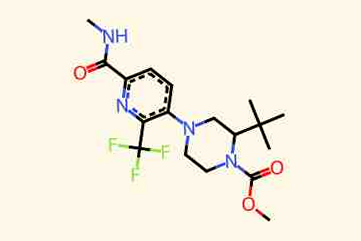 CNC(=O)c1ccc(N2CCN(C(=O)OC)C(C(C)(C)C)C2)c(C(F)(F)F)n1